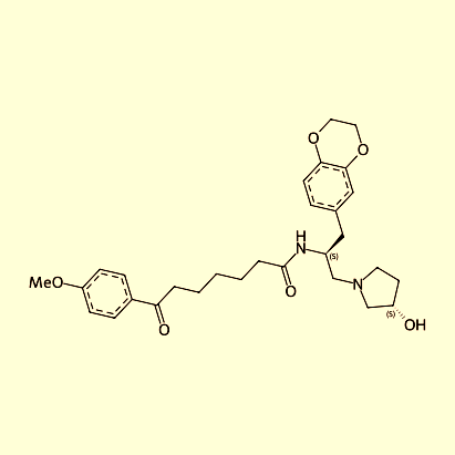 COc1ccc(C(=O)CCCCCC(=O)N[C@@H](Cc2ccc3c(c2)OCCO3)CN2CC[C@H](O)C2)cc1